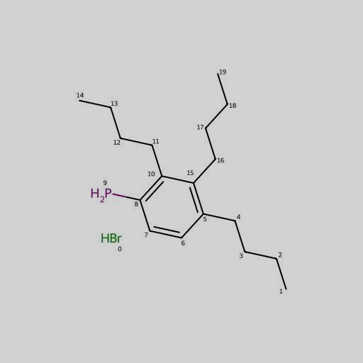 Br.CCCCc1ccc(P)c(CCCC)c1CCCC